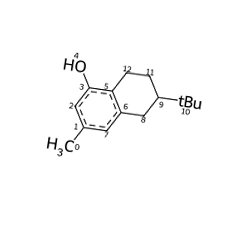 Cc1cc(O)c2c(c1)CC(C(C)(C)C)CC2